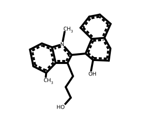 Cc1cccc2c1c(CCCO)c(-c1c(O)ccc3ccccc13)n2C